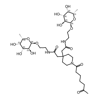 CC(=O)CCCCC(=O)N1CCC(CC(=O)NCCO[C@@H]2O[C@@H](C)[C@@H](O)[C@@H](O)[C@@H]2O)(CC(=O)NCCO[C@@H]2O[C@@H](C)[C@@H](O)[C@@H](O)[C@@H]2O)CC1